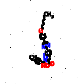 CCCCCCCOc1ccc(-c2cnc(-c3ccc(CC(NC(=O)c4ccc(CC)cc4)C(=O)O)cc3)nc2)cc1